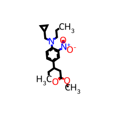 CCCN(CC1CC1)c1ccc(C(CC)CC(=O)OC)cc1[N+](=O)[O-]